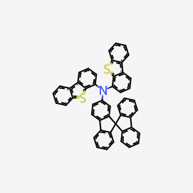 c1ccc2c(c1)-c1ccccc1C21c2ccccc2-c2ccc(N(c3cccc4c3sc3ccccc34)c3cccc4c3sc3ccccc34)cc21